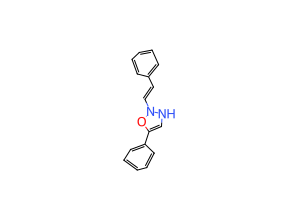 C(=CN1NC=C(c2ccccc2)O1)c1ccccc1